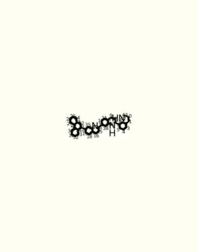 C1=Cc2cccc(C3C=Cc4ccc(-c5ccc6ccc(-c7cc8ccccc8c8ccccc78)cc6n5)cc4N3)c2NC1